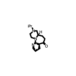 CC(C)N1CCN2c3ncccc3C(=O)CC[C@H]2C1